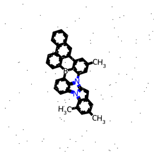 Cc1cc2c3c(c1)-n1c4c(cccc4n4c5c(C)cc(C)cc5cc14)B3c1cccc3c1c-2cc1ccccc13